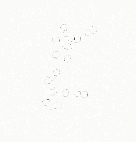 CC1(C)c2ccccc2-c2c(-c3nc(-c4ccc(-c5cc6ccccc6o5)cc4)nc(-c4cccc5c4sc4ccc(CC6(C)c7ccccc7-c7c(-c8nc(-c9ccc(-c%10cc%11ccccc%11o%10)cc9)nc(-c9ccccc9-n9c%10ccccc%10c%10ccccc%109)n8)cccc76)cc45)n3)cccc21